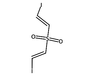 O=S(=O)(C=CI)C=CI